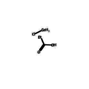 CCC(=O)O.[Cl][GeH3]